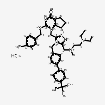 CCN(CC)CCN(C)Cc1nnc(Cn2c(SCc3ccc(F)cc3)nc(=O)c3c2CCC3)n1Cc1ccc(-c2ccc(C(F)(F)F)cc2)cc1.Cl